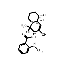 CNc1ccccc1C(=O)N[C@H]1C(O)=C[C@@H]2[C@@H](O)CCCN2C1(C)C